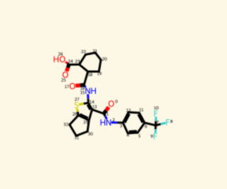 O=C(Nc1ccc(C(F)(F)F)cc1)c1c(NC(=O)C2CCCCC2C(=O)O)sc2c1CCC2